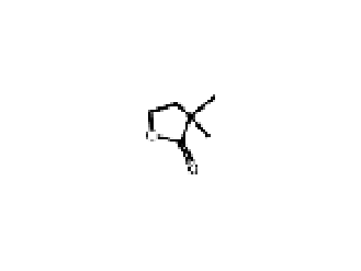 CC1(C)C[CH]OC1=O